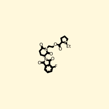 CCN1CCCC1C(=O)OCCN1C(=O)CC[C@H](N2C(=O)c3cccc(F)c3C2=O)C1=O